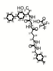 O=C(O)C(F)(F)F.O=C(O)CC(NC(=O)CNC(=O)CCCNC(=O)NCc1ccc(F)cc1)c1ccc(-c2ccccc2)cc1